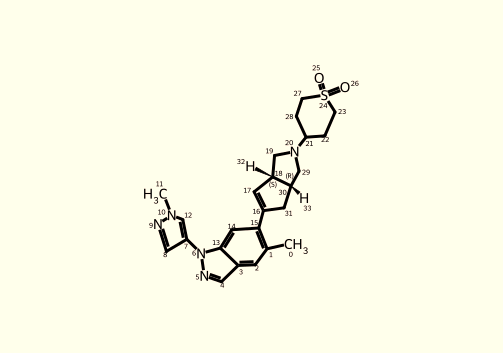 Cc1cc2cnn(-c3cnn(C)c3)c2cc1C1=C[C@@H]2CN(C3CCS(=O)(=O)CC3)C[C@@H]2C1